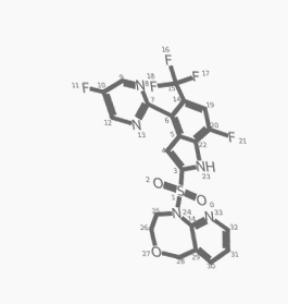 O=S(=O)(c1cc2c(-c3ncc(F)cn3)c(C(F)(F)F)cc(F)c2[nH]1)N1CCOCc2cccnc21